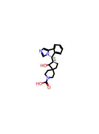 O=C(O)N1CCC2(CC[C@H]([C@H]3c4ccccc4-c4cncn43)C2O)CC1